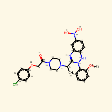 CCOc1ccccc1N1Nc2ccc(N(O)O)cc2N=C1C(C)N1CCN(C(=O)COc2ccc(Cl)cc2)CC1